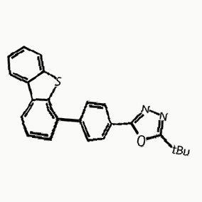 CC(C)(C)c1nnc(-c2ccc(-c3cccc4c3sc3ccccc34)cc2)o1